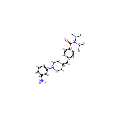 CC(C)N(C(=O)c1ccc(C=C2CCN(c3cccc(N)c3)CC2)cc1)C(C)C